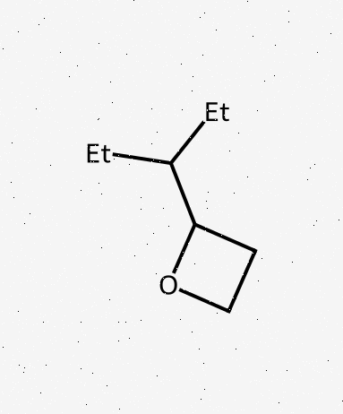 [CH2]CC(CC)C1CCO1